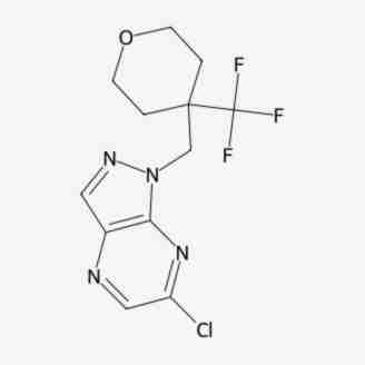 FC(F)(F)C1(Cn2ncc3ncc(Cl)nc32)CCOCC1